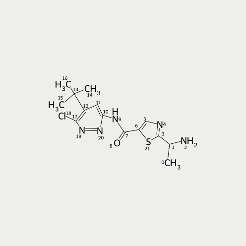 CC(N)c1ncc(C(=O)Nc2cc(C(C)(C)C)c(Cl)nn2)s1